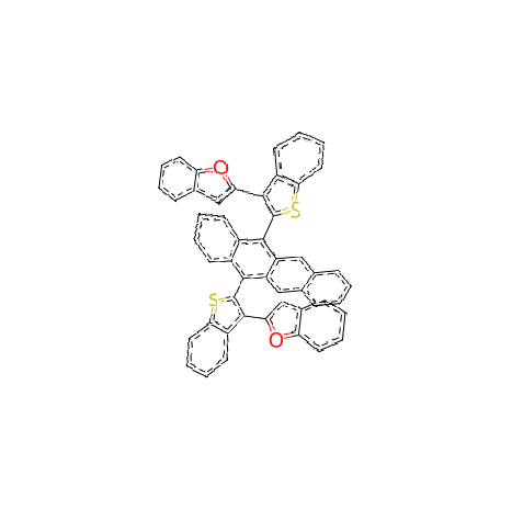 c1ccc2cc3c(-c4sc5ccccc5c4-c4cc5ccccc5o4)c4ccccc4c(-c4sc5ccccc5c4-c4cc5ccccc5o4)c3cc2c1